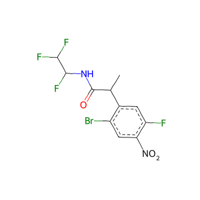 CC(C(=O)NC(F)C(F)F)c1cc(F)c([N+](=O)[O-])cc1Br